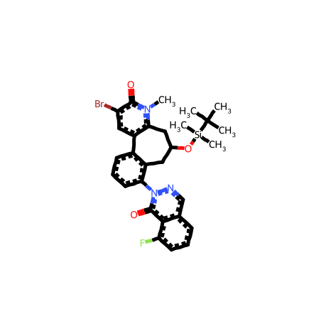 Cn1c2c(cc(Br)c1=O)-c1cccc(-n3ncc4cccc(F)c4c3=O)c1CC(O[Si](C)(C)C(C)(C)C)C2